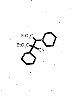 CCOC(=O)C(C1CCCCC1)C(C#N)(C(=O)OCC)C1CCCCC1